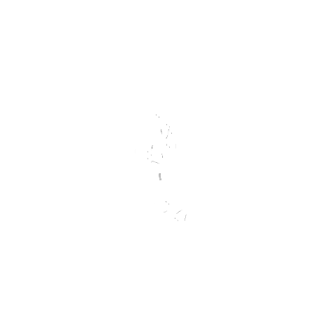 CC[C@@H](CCC#Cc1cc(Nc2cc3n(n2)CCN(C)C3)c(=O)n(C)n1)NC(=O)c1cc2c([nH]1)CCCC2